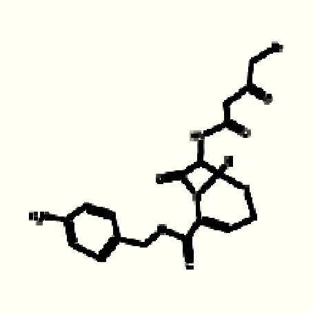 O=C(CBr)CC(=O)NC1C(=O)N2C(C(=O)OCc3ccc([N+](=O)[O-])cc3)=CCS[C@@H]12